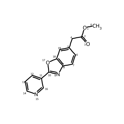 COC(=O)Cc1ccc2nc(-c3cccnc3)oc2c1